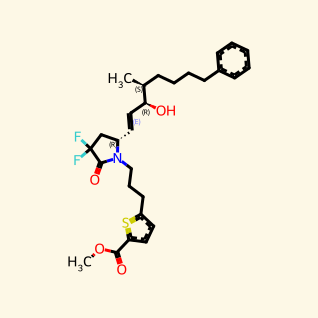 COC(=O)c1ccc(CCCN2C(=O)C(F)(F)C[C@@H]2/C=C/[C@H](O)[C@@H](C)CCCCc2ccccc2)s1